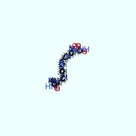 Cn1c(=O)n(C2CCC(=O)NC2=O)c2ccc(N3CCC(CN4CCN(c5ccc(-c6cc(-c7cc8c([nH]7)C7(CCC7)CNC8=O)ccn6)cc5)CC4)CC3)cc21